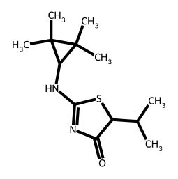 CC(C)C1SC(NC2C(C)(C)C2(C)C)=NC1=O